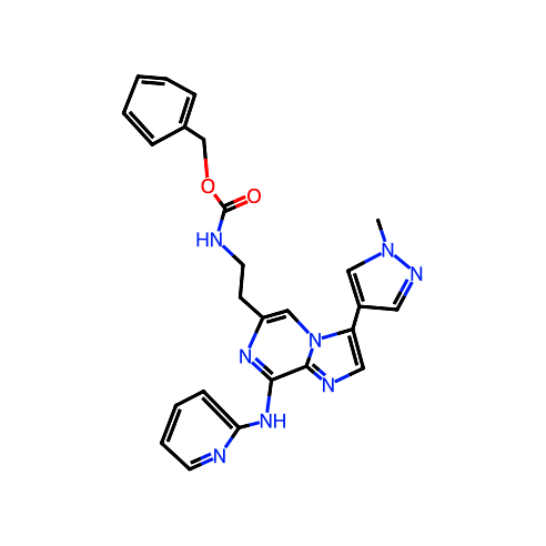 Cn1cc(-c2cnc3c(Nc4ccccn4)nc(CCNC(=O)OCc4ccccc4)cn23)cn1